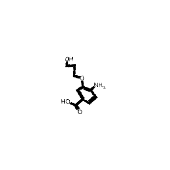 Nc1ccc(C(=O)O)cc1OCCCO